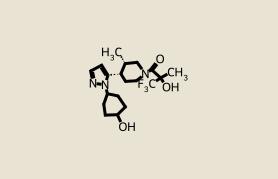 C[C@@H]1CN(C(=O)C(C)(O)C(F)(F)F)CC[C@@H]1c1ccnn1C1CCC(O)CC1